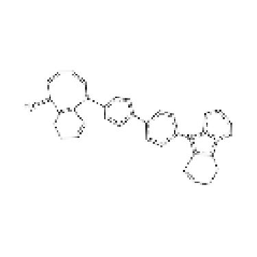 C=C1/C=C\C=CN(c2ccc(-c3ccc(-n4c5c(c6ccccc64)CCC=C5)cc3)cc2)C2=C1CCC=C2